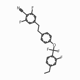 CCc1ccc(C(F)(F)Oc2ccc(CCc3cc(F)c(C#N)c(F)c3)cc2)c(F)c1